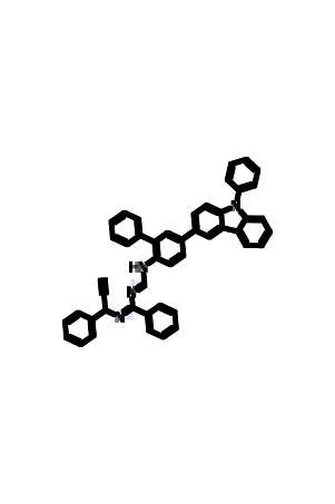 C#CC(/N=C(\N=C\Nc1ccc(-c2ccc3c(c2)c2ccccc2n3-c2ccccc2)cc1-c1ccccc1)c1ccccc1)c1ccccc1